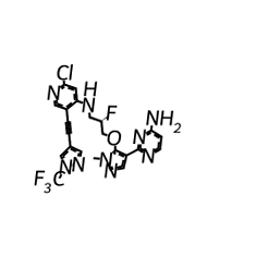 Cn1ncc(-c2nccc(N)n2)c1OC[C@@H](F)CNc1cc(Cl)ncc1C#Cc1cnn(C(F)(F)F)c1